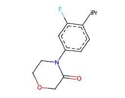 CC(C)c1ccc(N2CCOCC2=O)cc1F